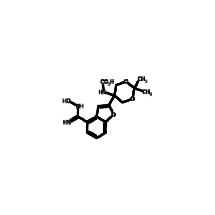 CC1(C)OCC(NC(=O)O)(c2cc3c(C(=N)NO)cccc3o2)CO1